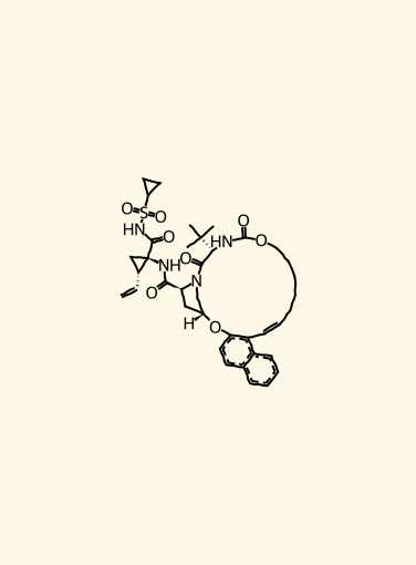 C=C[C@@H]1C[C@]1(NC(=O)[C@@H]1C[C@@H]2CN1C(=O)[C@H](C(C)(C)C)NC(=O)OCCCCCC=Cc1c(ccc3ccccc13)O2)C(=O)NS(=O)(=O)C1CC1